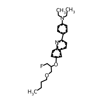 CCCCOCC(CF)Oc1ccc2nc(-c3ccc(N(CC)CC)cc3)ccc2c1